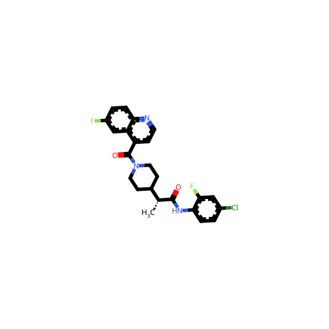 C[C@@H](C(=O)Nc1ccc(Cl)cc1F)C1CCN(C(=O)c2ccnc3ccc(F)cc23)CC1